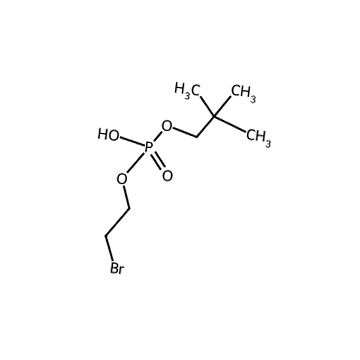 CC(C)(C)COP(=O)(O)OCCBr